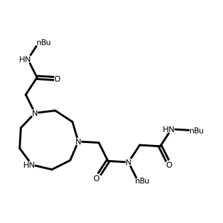 CCCCNC(=O)CN1CCNCCN(CC(=O)N(CCCC)CC(=O)NCCCC)CC1